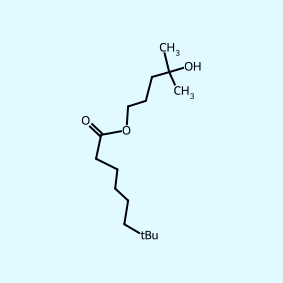 CC(C)(C)CCCCCC(=O)OCCCC(C)(C)O